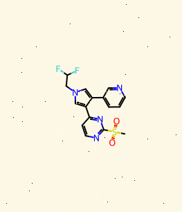 CS(=O)(=O)c1nccc(-c2cn(CC(F)F)cc2-c2cccnc2)n1